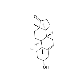 C[C@H]1C[C@@H](O)CC2=CC[C@@H]3[C@H](CC[C@]4(C)C(=O)CC[C@@H]34)[C@]21C